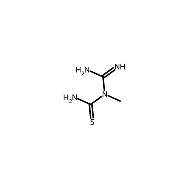 CN(C(=N)N)C(N)=S